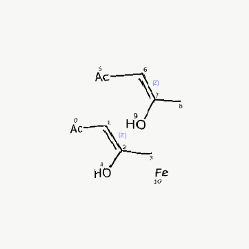 CC(=O)/C=C(/C)O.CC(=O)/C=C(/C)O.[Fe]